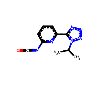 CC(C)n1nnnc1-c1cccc(N=C=O)n1